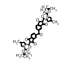 C=C1C[C@@H](C(=O)C2C(=O)c3ccc(C(=O)c4ccc5c(c4)C(=O)C(C(=O)[C@@H]4CC(=C)CN4C(=O)OC(C)(C)C)C5=O)cc3C2=O)N(C(=O)OC(C)(C)C)C1